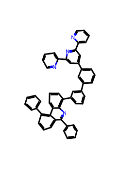 c1ccc(-c2nc3c(-c4cccc(-c5cccc(-c6cc(-c7ccccn7)nc(-c7ccccn7)c6)c5)c4)cccc3c3c(-c4ccccc4)cccc23)cc1